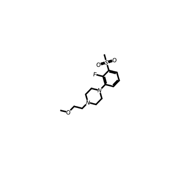 COCCN1CCN(c2cccc(S(C)(=O)=O)c2F)CC1